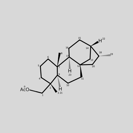 CC(=O)OC[C@]1(C)CCC[C@@]2(C)[C@H]1CC[C@]13C[C@H](CC[C@@H]12)[C@H](C)C3